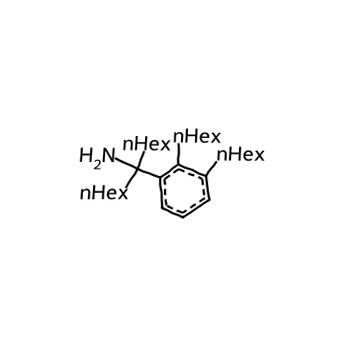 CCCCCCc1cccc(C(N)(CCCCCC)CCCCCC)c1CCCCCC